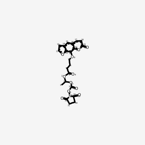 CC(OC(=O)CCCOc1c2occc2cc2ccc(=O)oc12)OC(=O)ON1C(=O)CCC1=O